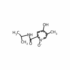 Cc1c[n+]([O-])c(C(=O)NC(C)C)cc1O